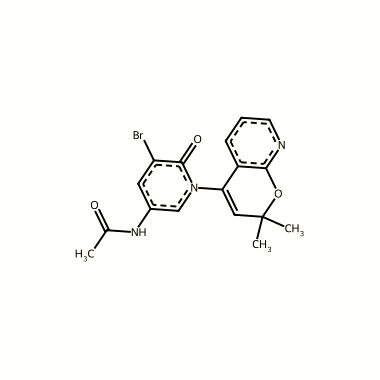 CC(=O)Nc1cc(Br)c(=O)n(C2=CC(C)(C)Oc3ncccc32)c1